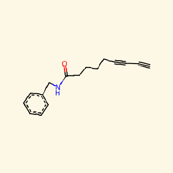 C#CC#CCCCCC(=O)NCc1ccccc1